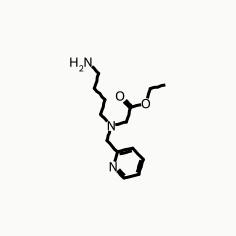 CCOC(=O)CN(CCCCN)Cc1ccccn1